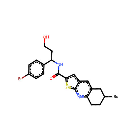 CC(C)(C)C1CCc2nc3sc(C(=O)N[C@H](CCO)c4ccc(Br)cc4)cc3cc2C1